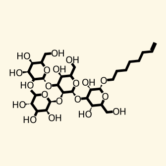 C=CCCCCCCO[C@@H]1OC(CO)[C@H](O)C(O[C@@H]2OC(CO)[C@H](O)C(O[C@H]3OC(CO)[C@H](O)[C@H](O)C3O)[C@@H]2O[C@@H]2OC(C)[C@@H](O)C(O)[C@@H]2O)[C@@H]1O